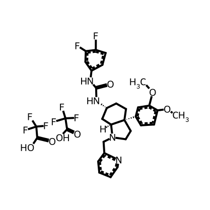 COc1ccc([C@@]23CC[C@@H](NC(=O)Nc4ccc(F)c(F)c4)C[C@@H]2N(Cc2ccccn2)CC3)cc1OC.O=C(O)C(F)(F)F.O=C(O)C(F)(F)F